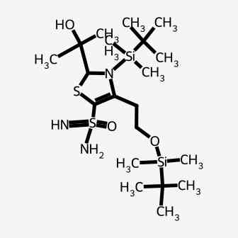 CC(C)(O)C1SC(S(=N)(N)=O)=C(CCO[Si](C)(C)C(C)(C)C)N1[Si](C)(C)C(C)(C)C